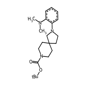 CN(C)c1ccccc1N1CCC2(CCN(C(=O)OC(C)(C)C)CC2)C1